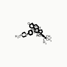 CN1CCN(c2ccc([C@H]3C[C@@]4(C)[C@@H](CC[C@@]4(O)C#CC(C)(C)C)[C@@H]4CCC5=CC(=O)CC[C@@H]5[C@H]43)cc2)CC1